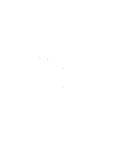 C=C(C)C(=O)OC(CC)C1CCC(C2CCC(CCC)CC2)CC1